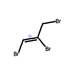 Br/C=C(\Br)CBr